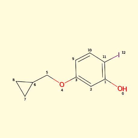 Oc1cc(OCC2CC2)ccc1I